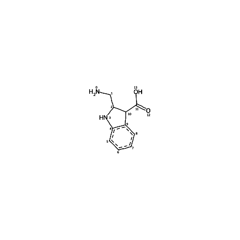 NCC1Nc2ccccc2C1C(=O)O